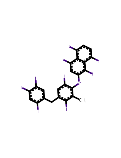 Cc1c(I)c(Cc2cc(I)c(I)cc2I)cc(I)c1[I+]c1cc(I)c2c(I)ccc(I)c2c1I